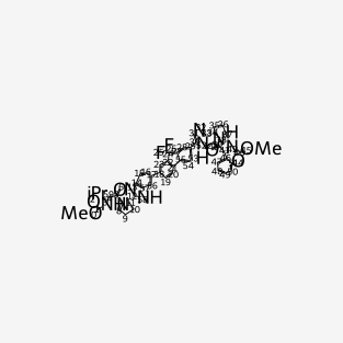 COC(=O)NC(C(=O)N1CCC[C@H]1c1nc2ccc(-c3ccc4c(c3)C(F)(F)c3cc(-c5cnc([C@@H]6CCCN6C(=O)[C@H](NC(=O)OC)c6ccccc6)[nH]5)ccc3-4)cc2[nH]1)C(C)C